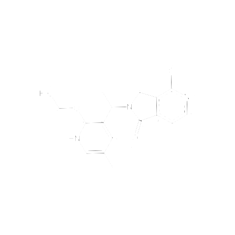 CC1=CNC(OCC(F)(F)F)C(C(C)N2Cc3c(ccnc3Cl)C2=O)=C1